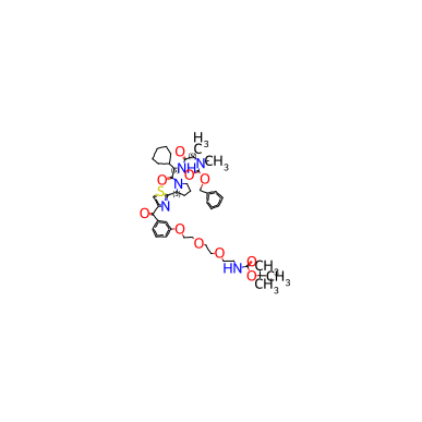 C[C@@H](C(=O)N[C@H](C(=O)N1CCC[C@H]1c1nc(C(=O)c2cccc(OCCOCCOCCNC(=O)OC(C)(C)C)c2)cs1)C1CCCCC1)N(C)C(=O)OCc1ccccc1